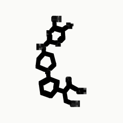 O=C(O)C(CO)c1cccc(N2CCC(Nc3ncc(Br)c(O)n3)CC2)c1